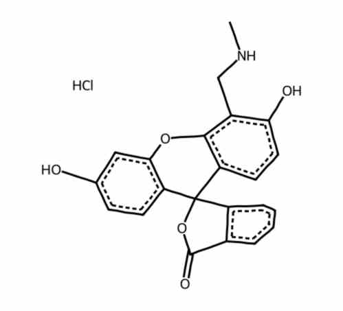 CNCc1c(O)ccc2c1Oc1cc(O)ccc1C21OC(=O)c2ccccc21.Cl